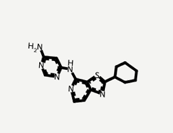 Nc1cc(Nc2nccc3nc(C4CCCCC4)sc23)ncn1